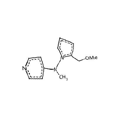 COCc1cccn1N(C)c1ccncc1